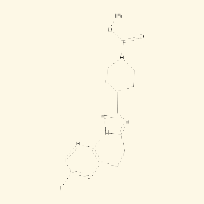 CC(C)(C)OC(=O)N1CCC(c2nc3n(n2)-c2ncc(F)cc2CC3)CC1